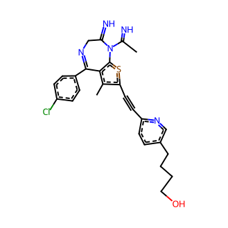 CC(=N)N1C(=N)CN=C(c2ccc(Cl)cc2)c2c1sc(C#Cc1ccc(CCCCO)cn1)c2C